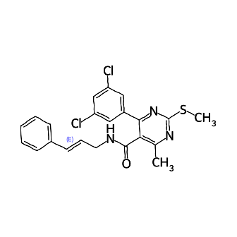 CSc1nc(C)c(C(=O)NC/C=C/c2ccccc2)c(-c2cc(Cl)cc(Cl)c2)n1